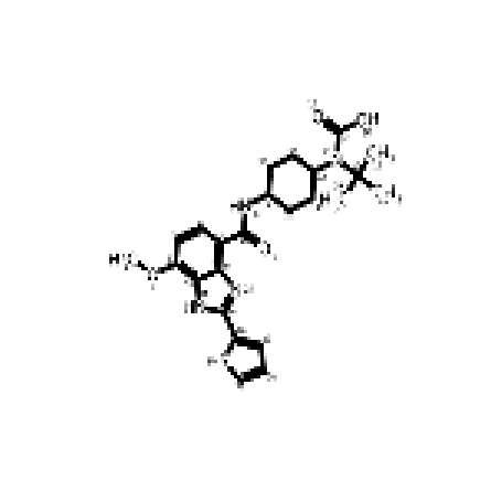 COc1ccc(C(=O)NC2CCC(N(C(=O)O)C(C)(C)C)CC2)c2nc(-c3cccs3)[nH]c12